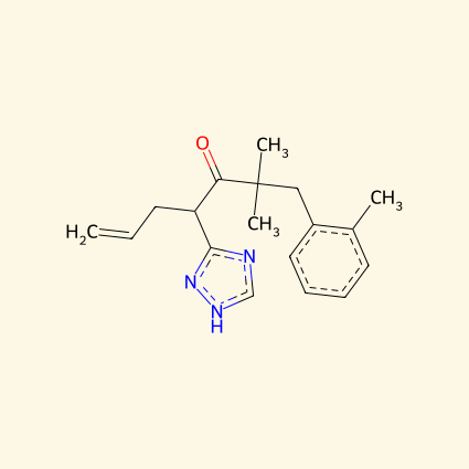 C=CCC(C(=O)C(C)(C)Cc1ccccc1C)c1nc[nH]n1